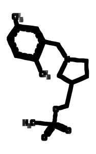 CS(=O)(=O)OCC1CCN(Cc2cc(C(F)(F)F)ccc2C(F)(F)F)C1